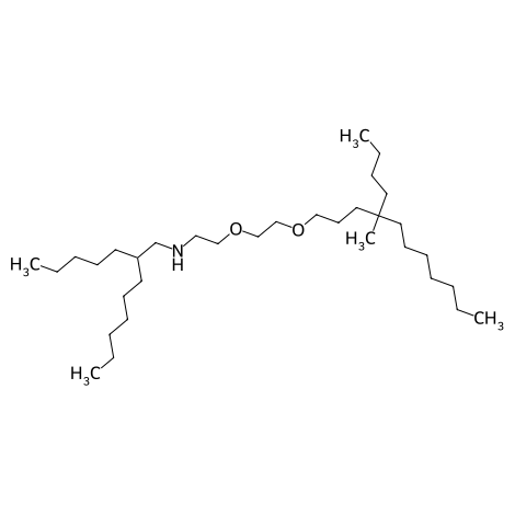 CCCCCCCC(C)(CCCC)CCCOCCOCCNCC(CCCCC)CCCCCC